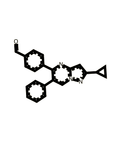 O=Cc1ccc(-c2nc3cc(C4CC4)nn3cc2-c2ccccc2)cc1